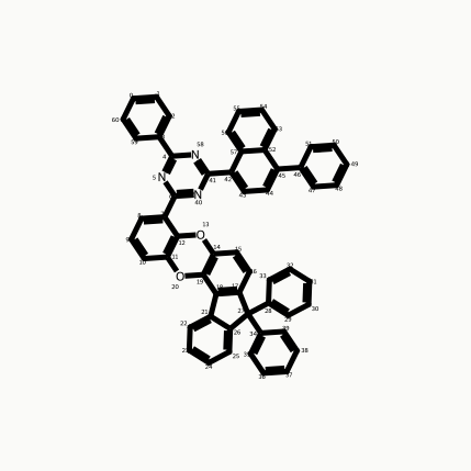 c1ccc(-c2nc(-c3cccc4c3Oc3ccc5c(c3O4)-c3ccccc3C5(c3ccccc3)c3ccccc3)nc(-c3ccc(-c4ccccc4)c4ccccc34)n2)cc1